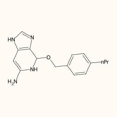 CCCc1ccc(COC2NC(N)=Cc3[nH]cnc32)cc1